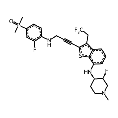 CN1CC[C@@H](Nc2cccc3c(CC(F)(F)F)c(C#CCNc4ccc(P(C)(C)=O)cc4F)sc23)[C@@H](F)C1